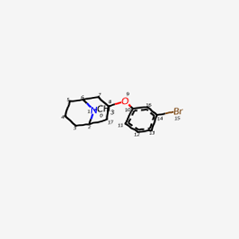 CN1C2CCCC1CC(Oc1cccc(Br)c1)C2